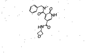 CN(Cc1ccccc1)C(=O)c1cc(C(=O)NC2COC2)c[nH]c1=O